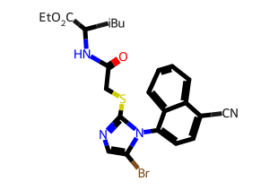 CCOC(=O)C(NC(=O)CSc1ncc(Br)n1-c1ccc(C#N)c2ccccc12)C(C)CC